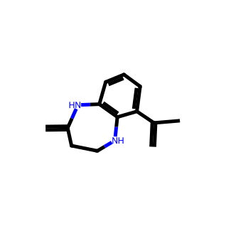 C=C1CCNc2c(cccc2C(=C)C)N1